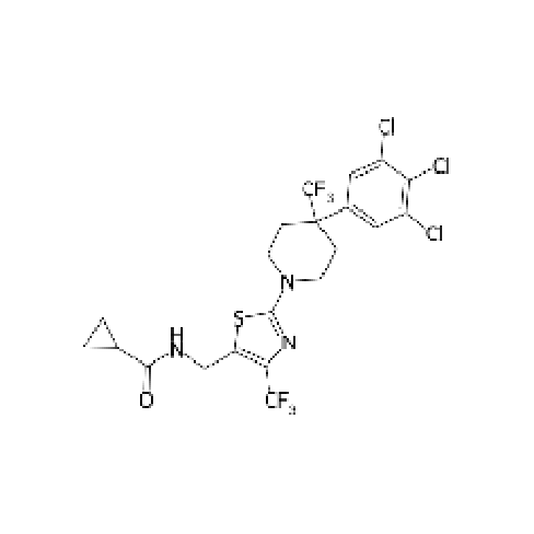 O=C(NCc1sc(N2CCC(c3cc(Cl)c(Cl)c(Cl)c3)(C(F)(F)F)CC2)nc1C(F)(F)F)C1CC1